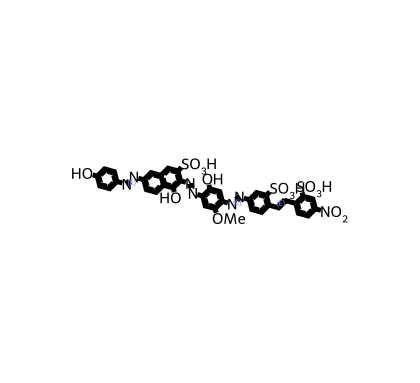 COc1cc(N=Nc2c(S(=O)(=O)O)cc3cc(/N=N/c4ccc(O)cc4)ccc3c2O)c(O)cc1/N=N/c1ccc(/C=C/c2ccc([N+](=O)[O-])cc2S(=O)(=O)O)c(S(=O)(=O)O)c1